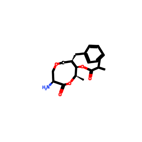 CC(C)C(=O)O[C@@H]1[C@@H](Cc2ccccc2)COC[C@H](N)C(=O)O[C@H]1C